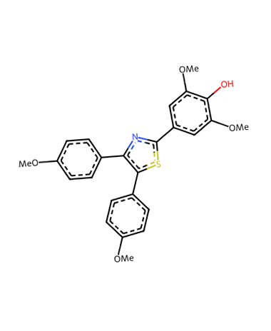 COc1ccc(-c2nc(-c3cc(OC)c(O)c(OC)c3)sc2-c2ccc(OC)cc2)cc1